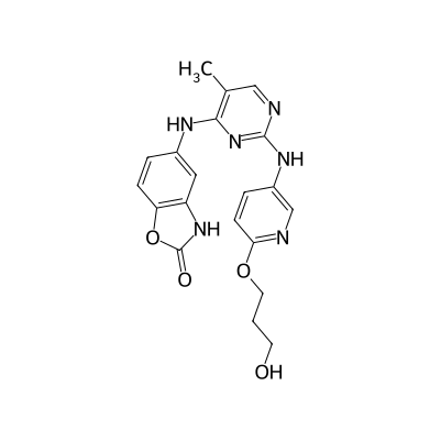 Cc1cnc(Nc2ccc(OCCCO)nc2)nc1Nc1ccc2oc(=O)[nH]c2c1